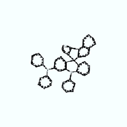 c1ccc(N(c2ccccc2)c2ccc3c(c2)N(c2ccccc2)c2ccccc2C32c3ccccc3-c3c2ccc2ccccc32)cc1